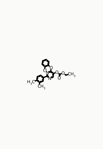 CCOC(=O)Oc1cnc(-c2ccc(C)c(C)c2)nc1Oc1ccccc1Cl